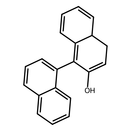 OC1=CCC2C=CC=CC2=C1c1cccc2ccccc12